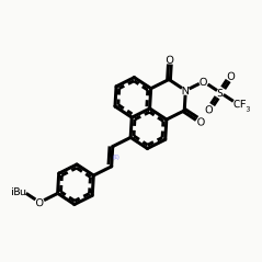 CCC(C)Oc1ccc(/C=C/c2ccc3c4c(cccc24)C(=O)N(OS(=O)(=O)C(F)(F)F)C3=O)cc1